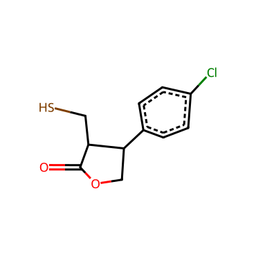 O=C1OCC(c2ccc(Cl)cc2)C1CS